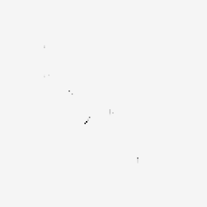 Cc1oc2cccnc2c1C(=O)N[C@@H](C)c1cc2cccc(Cl)c2c(=O)n1-c1ccccc1